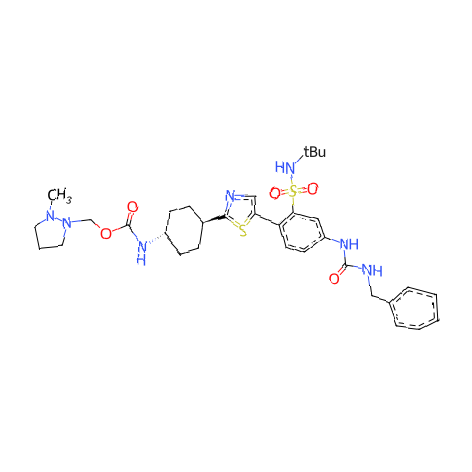 CN1CCCN1COC(=O)N[C@H]1CC[C@H](c2ncc(-c3ccc(NC(=O)NCc4ccccc4)cc3S(=O)(=O)NC(C)(C)C)s2)CC1